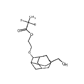 CC(F)(F)C(=O)OCCOC1C2CC3CC1CC(CO)(C3)C2